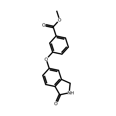 COC(=O)c1cccc(Oc2ccc3c(c2)CNC3=O)c1